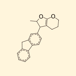 CC1OC2=C(CCCO2)C1c1ccc2c(c1)Cc1ccccc1-2